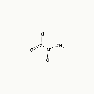 CN(Cl)C(=O)Cl